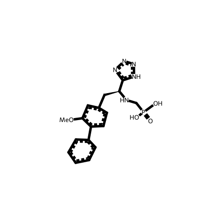 COc1cc(C[C@H](NCP(=O)(O)O)c2nnn[nH]2)ccc1-c1ccccc1